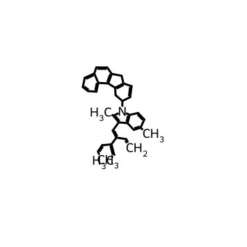 C=CC(=C\c1c(C)n(C2C=CC3=C(C2)c2c(ccc4ccccc24)C3)c2ccc(C)cc12)/C(/C=C\C)=C/C